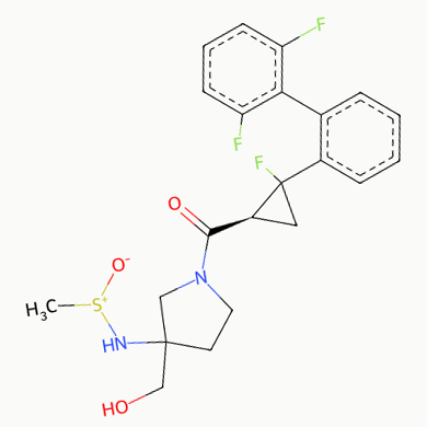 C[S+]([O-])NC1(CO)CCN(C(=O)[C@@H]2CC2(F)c2ccccc2-c2c(F)cccc2F)C1